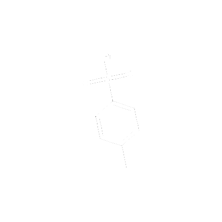 [CH2]c1ccc(S(=O)(=O)C(C)C)cc1